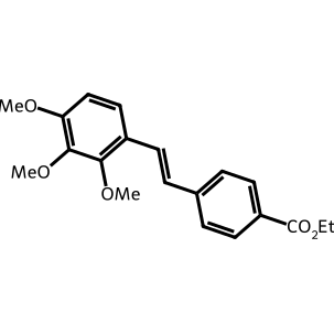 CCOC(=O)c1ccc(C=Cc2ccc(OC)c(OC)c2OC)cc1